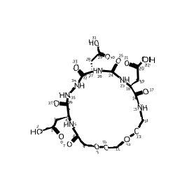 O=C(O)C[C@@H]1NC(=O)COCCOCCNC(=O)[C@H](CC(=O)O)NC(=O)N[C@@H](CC(=O)O)C(=O)NNC1=O